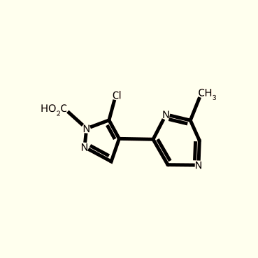 Cc1cncc(-c2cnn(C(=O)O)c2Cl)n1